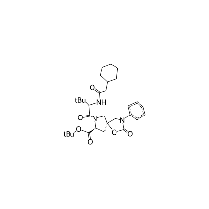 CC(C)(C)OC(=O)[C@@H]1C[C@@]2(CN(c3ccccc3)C(=O)O2)CN1C(=O)C(NC(=O)CC1CCCCC1)C(C)(C)C